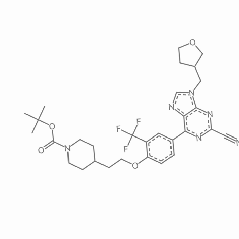 CC(C)(C)OC(=O)N1CCC(CCOc2ccc(-c3nc(C#N)nc4c3ncn4CC3CCOC3)cc2C(F)(F)F)CC1